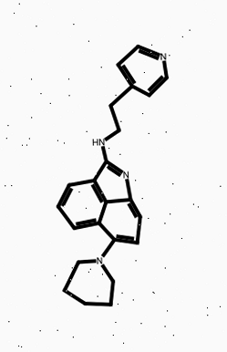 c1cc2c3c(ccc(N4CCCCC4)c3c1)N=C2NCCc1ccncc1